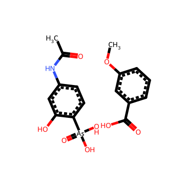 CC(=O)Nc1ccc([As](=O)(O)O)c(O)c1.COc1cccc(C(=O)O)c1